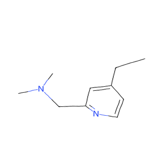 CCc1ccnc(CN(C)C)c1